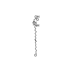 O=CCCCCCCCC=CCCCCCCCCNc1nc(CC(=O)O)cs1